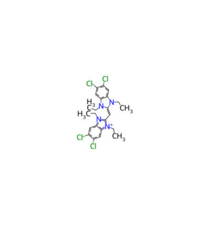 CCN1C(=Cc2n(CC)c3cc(Cl)c(Cl)cc3[n+]2CC)N(CC)c2cc(Cl)c(Cl)cc21